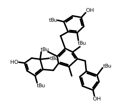 Cc1c(CC2=C(C(C)(C)C)C=C(O)CC2(C(C)(C)C)C(C)(C)C)c(C)c(Cc2c(C(C)(C)C)cc(O)cc2C(C)(C)C)c(C)c1Cc1ccc(O)cc1C(C)(C)C